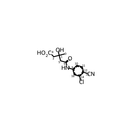 CC(O)(CC(=O)O)CC(=O)Nc1ccc(C#N)c(Cl)c1